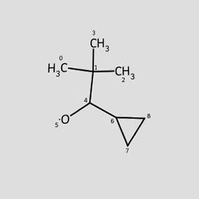 CC(C)(C)C([O])C1CC1